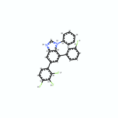 Fc1cccc(-c2cc(-c3ccc(F)c(F)c3F)cc3ncn(-c4ccccc4)c23)c1